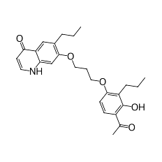 CCCc1cc2c(=O)cc[nH]c2cc1OCCCOc1ccc(C(C)=O)c(O)c1CCC